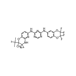 CC1(C(I)(I)I)Oc2ccc(Nc3ncnc(Nc4ccc5c(c4)OC(F)(F)C(F)(F)O5)n3)nc2NC12CC2